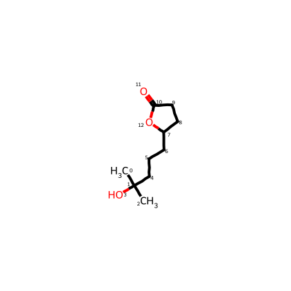 CC(C)(O)CCCC1CCC(=O)O1